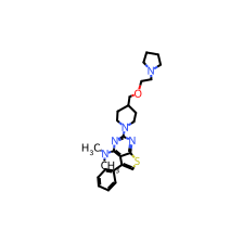 CN(C)c1nc(N2CCC(COCCN3CCCC3)CC2)nc2scc(-c3ccccc3)c12